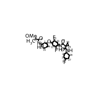 CO[C@@H](C)C(=O)Nc1cc(Oc2cc(F)c(NC(=O)C3(C(=O)Nc4ccc(F)cc4)CC3)cc2F)ccn1